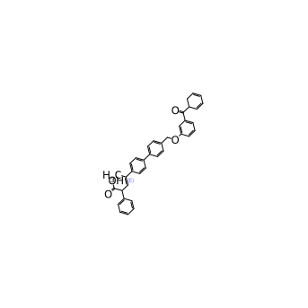 C/C(=C\C(C(=O)O)c1ccccc1)c1ccc(-c2ccc(COc3cccc(C(=O)C4C=CC=CC4)c3)cc2)cc1